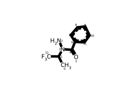 CC(N(N)C(=O)c1ccccc1)C(F)(F)F